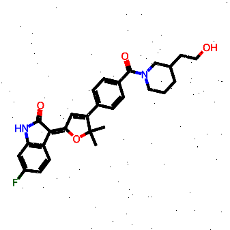 CC1(C)O/C(=C2/C(=O)Nc3cc(F)ccc32)C=C1c1ccc(C(=O)N2CCCC(CCO)C2)cc1